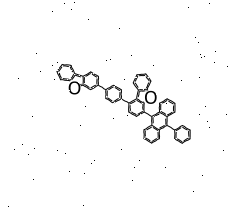 c1ccc(-c2c3ccccc3c(-c3ccc(-c4ccc(-c5ccc6c(c5)oc5ccccc56)cc4)c4c3oc3ccccc34)c3ccccc23)cc1